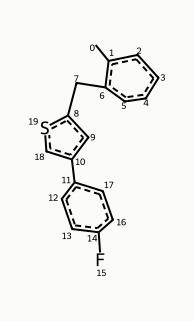 Cc1ccccc1Cc1cc(-c2ccc(F)cc2)cs1